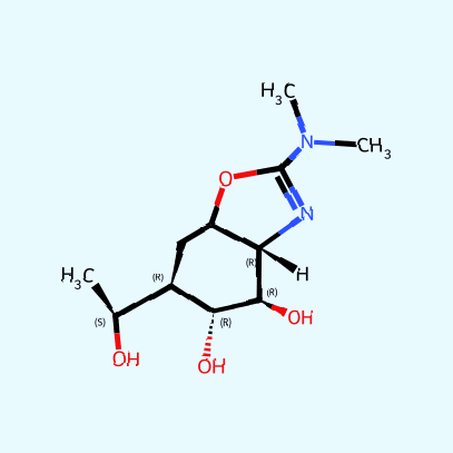 C[C@H](O)[C@H]1CC2OC(N(C)C)=N[C@@H]2[C@@H](O)[C@@H]1O